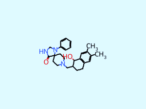 Cc1cc2c(cc1C)C(O)C(CN1CCC3(CC1)C(=O)NCN3c1ccccc1)CC2